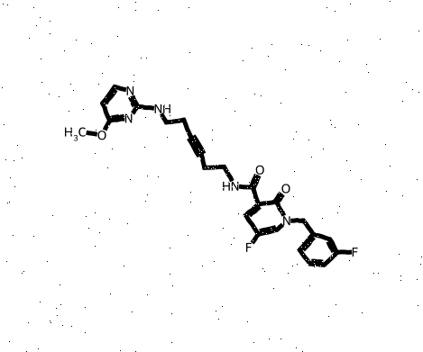 COc1ccnc(NCCC#CCCNC(=O)c2cc(F)cn(Cc3cccc(F)c3)c2=O)n1